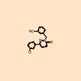 N#Cc1cccc(Cn2nc(-c3cccc(Cl)c3)ccc2=O)c1